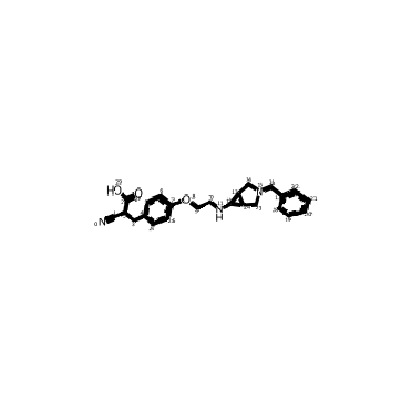 N#CC(Cc1ccc(OCCNC2C3CN(Cc4ccccc4)CC32)cc1)C(=O)O